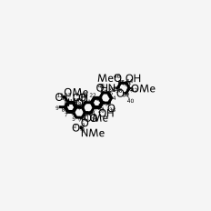 CNC(=O)O[C@@H]1Cc2cc(C)c(C(=O)OC)c(O)c2[C@]2(O)C(=O)c3cc4c(c(O)c3C(=O)[C@]12OC)C(=O)C=C(N[C@H]1O[C@@H](C)[C@H](OC)[C@@H](O)[C@H]1OC)C4=O